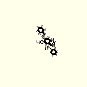 Oc1cc2c(Nc3ccccc3)ncnc2cc1OCc1ccccc1